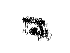 COc1cc2c(cc1OCCCCCOc1cc3c(cc1OC)C(=O)N1CC4(CC4)C[C@H]1C(O)N3C(=O)OCc1ccc(NC(=O)[C@H](C)NC(=O)[C@@H](NC(=O)CCC(=O)N3Cc4ccccc4-c4nnn(C(C)C)c4-c4ccccc43)C(C)C)cc1)NC[C@@H]1CC3(CC3)CN1C2=O